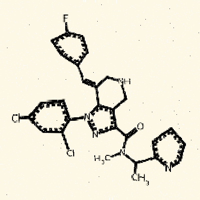 CC(c1ccccn1)N(C)C(=O)c1nn(-c2ccc(Cl)cc2Cl)c2c1CNC/C2=C\c1ccc(F)cc1